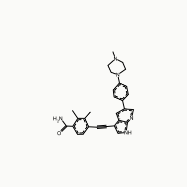 Cc1c(C#Cc2c[nH]c3ncc(-c4ccc(N5CCN(C)CC5)cc4)cc23)ccc(C(N)=O)c1C